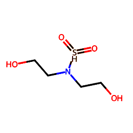 O=[SH](=O)N(CCO)CCO